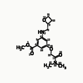 COC(=O)c1cc(NCC2CCO2)cc(OCC(=O)N(C)C)c1